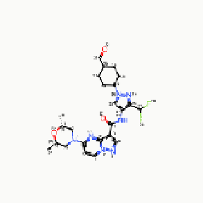 C[C@@H]1CN(c2ccn3ncc(C(=O)Nc4cn(C5CCC(C=O)CC5)nc4C(F)F)c3n2)C[C@@H](C)O1